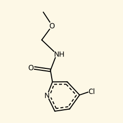 COCNC(=O)c1cc(Cl)ccn1